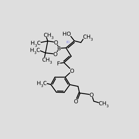 CCOC(=O)Cc1ccc(C)cc1OC(F)=C/C(B1OC(C)(C)C(C)(C)O1)=C(/O)CC